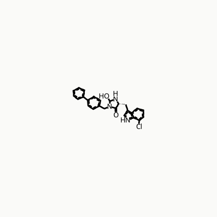 O=C1[C@@H](Cc2c[nH]c3c(Cl)cccc23)NC(O)N1Cc1ccc(-c2ccccc2)cc1